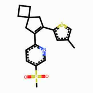 Cc1csc(C2=C(c3ccc(S(C)(=O)=O)cn3)CC3(CCC3)C2)c1